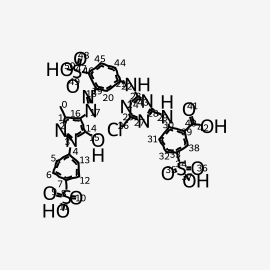 Cc1nn(-c2ccc(S(=O)(=O)O)cc2)c(O)c1/N=N/c1cc(Nc2nc(Cl)nc(Nc3ccc(S(=O)(=O)O)cc3C(=O)O)n2)ccc1S(=O)(=O)O